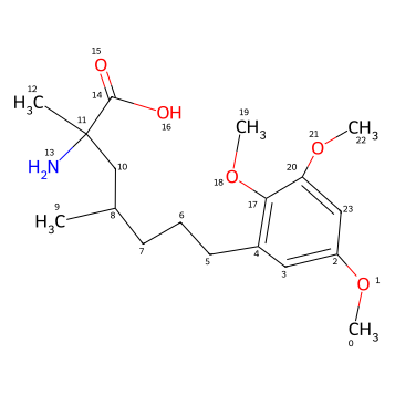 COc1cc(CCCC(C)CC(C)(N)C(=O)O)c(OC)c(OC)c1